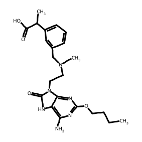 CCCCOc1nc(N)c2[nH]c(=O)n(CCN(C)Cc3cccc(C(C)C(=O)O)c3)c2n1